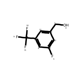 OCc1cc(F)cc(C(F)(F)F)c1